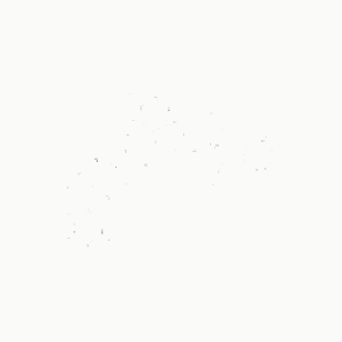 O=C(c1ccccc1)N1CCCC(CCSCN2CCC(O)(c3ccccc3)CC2)(c2ccc(Cl)c(Cl)c2)C1